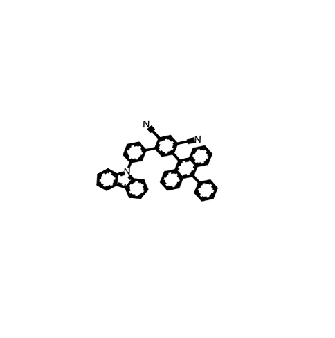 N#Cc1cc(C#N)c(-c2c3ccccc3c(-c3ccccc3)c3ccccc23)cc1-c1cccc(-n2c3ccccc3c3ccccc32)c1